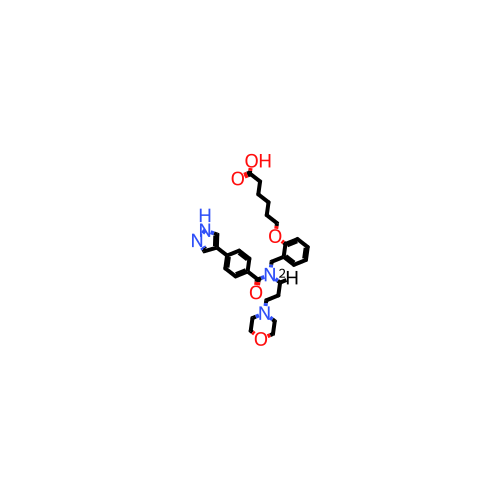 [2H]C(CCN1CCOCC1)N(Cc1ccccc1OCCCCCC(=O)O)C(=O)c1ccc(-c2cn[nH]c2)cc1